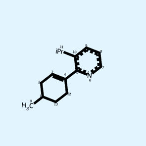 CC1CC=C(c2ncccc2C(C)C)CC1